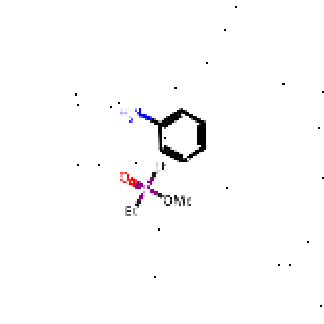 CCP(=O)(CC)OC.Nc1ccccc1